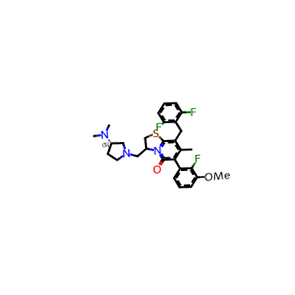 COc1cccc(-c2c(C)c(Cc3c(F)cccc3F)c3n(c2=O)C(CN2CC[C@H](N(C)C)C2)CS3)c1F